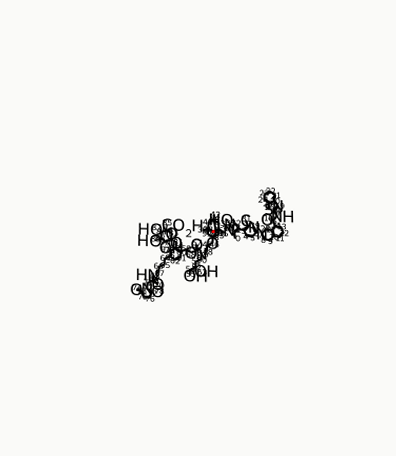 Cc1c(-c2ccc(N3CCc4cccc(C(=O)Nc5nc6ccccc6s5)c4C3)nc2C(=O)O)cnn1CC12CC3(C)CC(C)(C1)CC(OCCN(CC[C@H](O)CO)C(=O)OCc1ccc(CCCCNC(=O)CN4C(=O)C=CC4=O)cc1O[C@@H]1O[C@H](C(=O)O)[C@@H](O)[C@H](O)[C@H]1O)(C3)C2